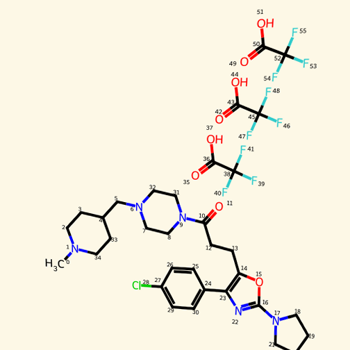 CN1CCC(CN2CCN(C(=O)CCc3oc(N4CCCC4)nc3-c3ccc(Cl)cc3)CC2)CC1.O=C(O)C(F)(F)F.O=C(O)C(F)(F)F.O=C(O)C(F)(F)F